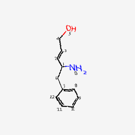 NC(/C=C/CO)Cc1ccccc1